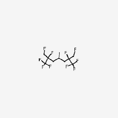 FCC(F)(CC(I)CC(F)(CF)C(F)(F)F)C(F)(F)F